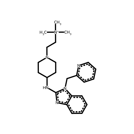 C[N+](C)(C)CCN1CCC(Nc2nc3ccccc3n2Cc2ccccn2)CC1